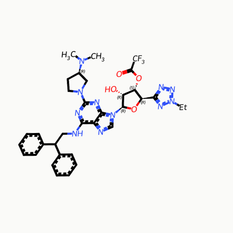 CCn1nnc([C@H]2O[C@@H](n3cnc4c(NCC(c5ccccc5)c5ccccc5)nc(N5CC[C@@H](N(C)C)C5)nc43)[C@H](O)[C@@H]2OC(=O)C(F)(F)F)n1